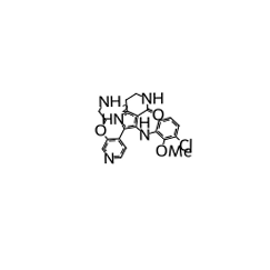 COc1c(Cl)cccc1Nc1c(-c2ccncc2OCCN)[nH]c2c1C(=O)NCC2